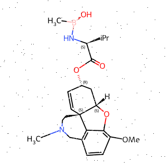 COc1ccc2c3c1O[C@H]1C[C@@H](OC(=O)[C@@H](NB(C)O)C(C)C)C=C[C@@]31CCN(C)C2